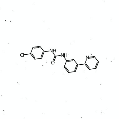 O=C(Nc1ccc(Cl)cc1)Nc1cccc(-c2ccccn2)c1